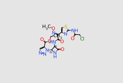 CCOC(=O)c1cnnn1[C@@H]1NC(=O)[C@@H]1NC(=O)C(=NOC)c1csc(NC(=O)CCl)n1